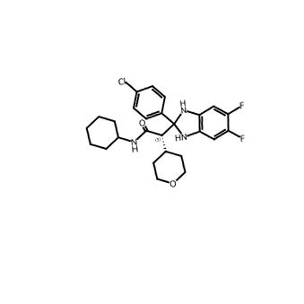 O=C(NC1CCCCC1)[C@@H](C1CCOCC1)C1(c2ccc(Cl)cc2)Nc2cc(F)c(F)cc2N1